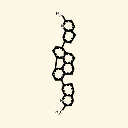 Cc1ccc2ccc(-c3ccc4c5c3ccc3ccc6c(-c7ccc8ccc(C)nc8c7)ccc-4c6c35)cc2n1